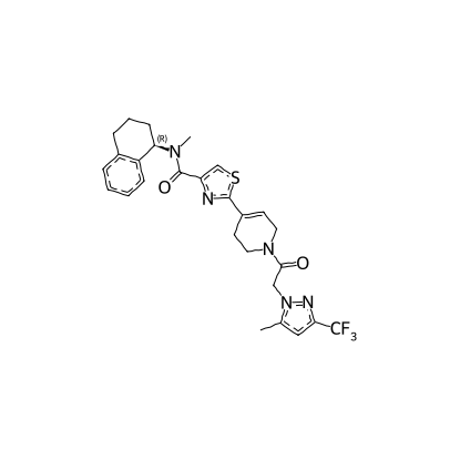 Cc1cc(C(F)(F)F)nn1CC(=O)N1CC=C(c2nc(C(=O)N(C)[C@@H]3CCCc4ccccc43)cs2)CC1